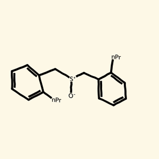 CCCc1ccccc1C[S+]([O-])Cc1ccccc1CCC